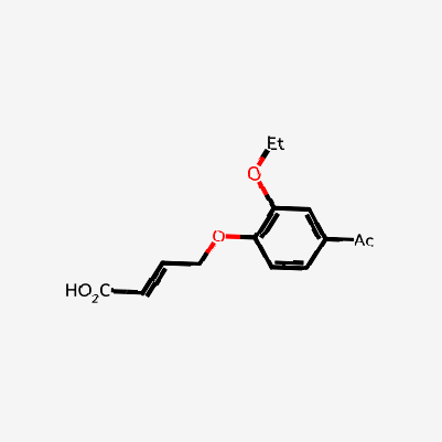 CCOc1cc(C(C)=O)ccc1OC/C=C/C(=O)O